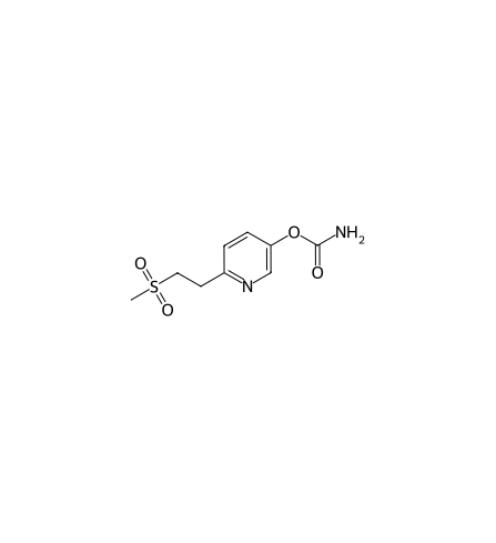 CS(=O)(=O)CCc1ccc(OC(N)=O)cn1